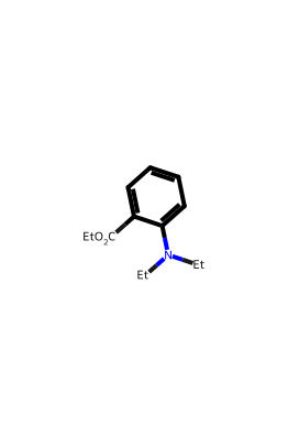 CCOC(=O)c1ccccc1N(CC)CC